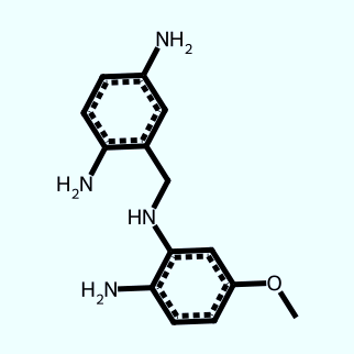 COc1ccc(N)c(NCc2cc(N)ccc2N)c1